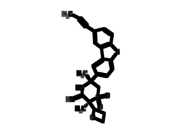 CC#Cc1ccc2sc3ccc([C@]4(C)CS(=O)(=O)[C@@](C)(C5CCO5)C(=N)N4)cc3c2c1